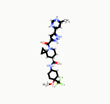 COC1(C(F)(F)F)CCC(NC(=O)[C@@H]2CCN(C(=O)c3cc(-c4cc(C)ncn4)[nH]n3)C3(CC3)C2)CC1